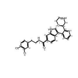 O=C(NCCc1ccc(Cl)c(Cl)c1)c1ccc2c(-c3cccnc3C3CNCCO3)c[nH]c2c1